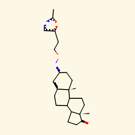 Cc1ncc(CCO/N=C2/C=C3CCC4C(CC[C@]5(C)C(=O)CCC45)[C@@]3(C)CC2)o1